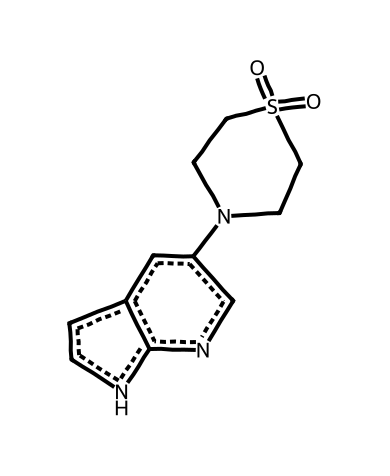 O=S1(=O)CCN(c2cnc3[nH]ccc3c2)CC1